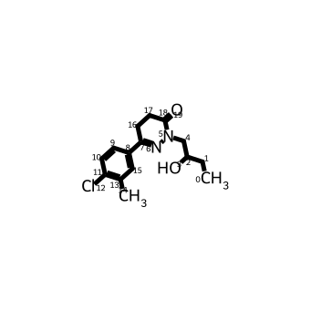 CCC(O)CN1N=C(c2ccc(Cl)c(C)c2)CCC1=O